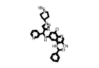 CCC(Nc1c(C#N)cnc2c(Cl)cc(NC(c3cccnc3)c3cn(C4CCN(C(C)(C)C)CC4)nn3)cc12)c1ccccc1